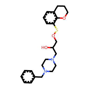 OC(COSc1cccc2c1OCCC2)CN1CCN(Cc2ccccc2)CC1